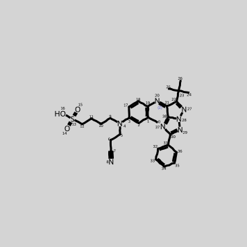 Cc1cc(N(CCC#N)CCCCS(=O)(=O)O)ccc1/N=C1/C(C(C)(C)C)=Nn2nc(-c3ccccc3)nc21